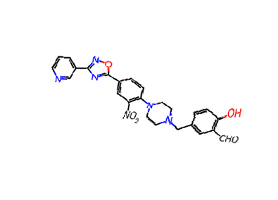 O=Cc1cc(CN2CCN(c3ccc(-c4nc(-c5cccnc5)no4)cc3[N+](=O)[O-])CC2)ccc1O